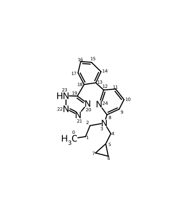 CCCN(CC1CC1)c1cccc(-c2ccccc2-c2nnn[nH]2)n1